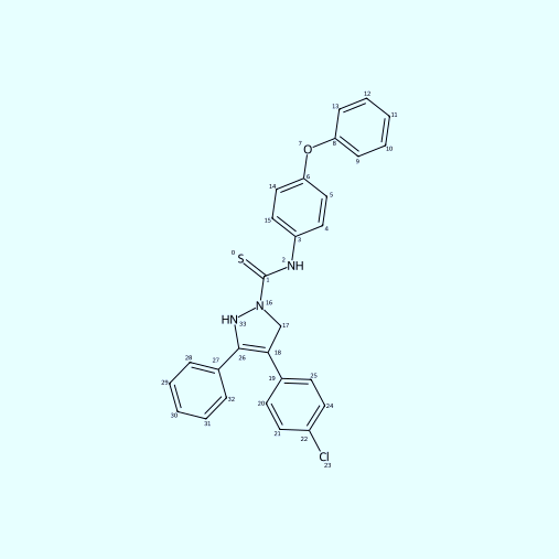 S=C(Nc1ccc(Oc2ccccc2)cc1)N1CC(c2ccc(Cl)cc2)=C(c2ccccc2)N1